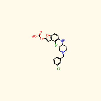 O=C(O)Oc1cc2c(Br)c(NC3CCN(Cc4cccc(Cl)c4)CC3)ccc2o1